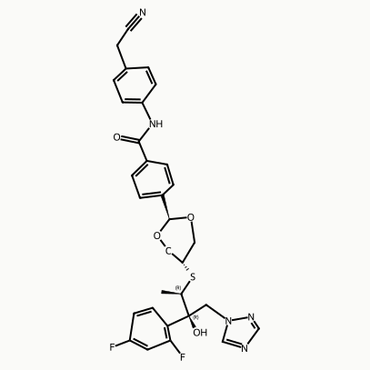 C[C@@H](S[C@H]1CO[C@H](c2ccc(C(=O)Nc3ccc(CC#N)cc3)cc2)OC1)[C@](O)(Cn1cncn1)c1ccc(F)cc1F